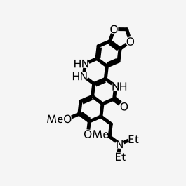 CCN(CC)CCC1C(OC)=C(OC)C=C2C3=C(NC(=O)C21)c1cc2c(cc1NN3)OCO2